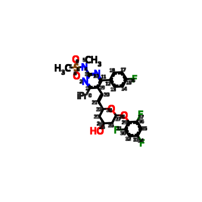 CC(C)c1nc(N(C)S(C)(=O)=O)nc(-c2ccc(F)cc2)c1/C=C/[C@@H]1CC(O)CC(Oc2c(F)cc(F)cc2F)O1